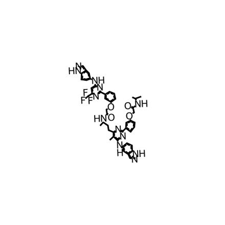 Cc1c(CCC(C)NC(=O)COc2cccc(-c3nc(Nc4ccc5[nH]ncc5c4)cc(C(F)(F)F)n3)c2)nc(-c2cccc(OCC(=O)NC(C)C)c2)nc1Nc1ccc2[nH]ncc2c1